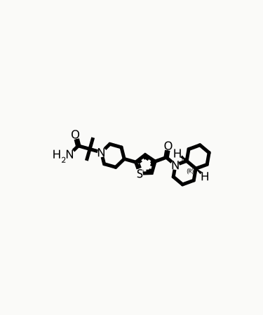 CC(C)(C(N)=O)N1CCC(c2cc(C(=O)N3CCC[C@H]4CCCC[C@H]43)cs2)CC1